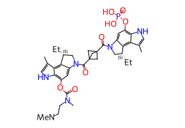 CC[C@@H]1CN(C(=O)C23CC(C(=O)N4C[C@@H](CC)c5c4cc(OP(=O)(O)O)c4[nH]cc(C)c54)(C2)C3)c2cc(OC(=O)N(C)CCNC)c3[nH]cc(C)c3c21